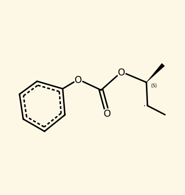 C[CH][C@H](C)OC(=O)Oc1ccccc1